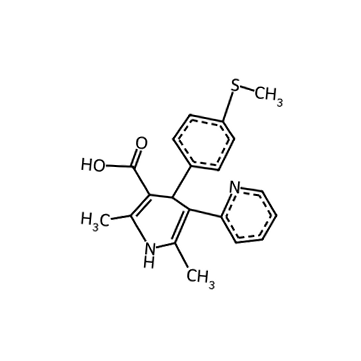 CSc1ccc(C2C(C(=O)O)=C(C)NC(C)=C2c2ccccn2)cc1